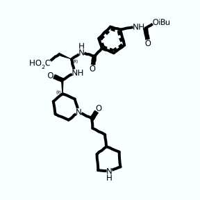 CC(C)COC(=O)Nc1ccc(C(=O)N[C@H](CC(=O)O)NC(=O)[C@@H]2CCCN(C(=O)CCC3CCNCC3)C2)cc1